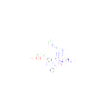 CC(C)CC(NC(=O)C(Cc1ccccc1)NC(=O)C(N)Cc1ccccc1)C(=O)NC(CCCCN)C(=O)N1CCC2(CC1)CN(C(=O)C(F)(F)F)C2.O=C(O)C(F)(F)F.O=C(O)C(F)(F)F